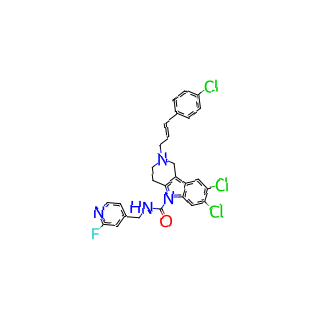 O=C(NCc1ccnc(F)c1)n1c2c(c3cc(Cl)c(Cl)cc31)CN(C/C=C/c1ccc(Cl)cc1)CC2